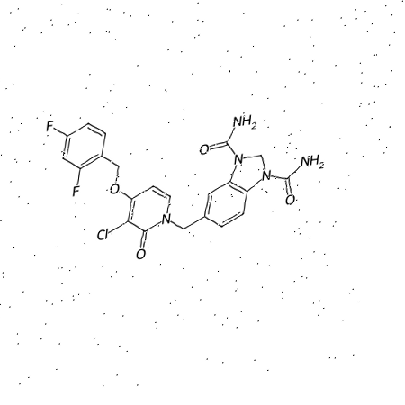 NC(=O)N1CN(C(N)=O)c2cc(Cn3ccc(OCc4ccc(F)cc4F)c(Cl)c3=O)ccc21